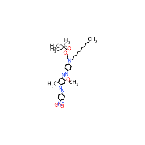 CCCCCCCCCCN(CCOC(=O)C(C)(CC)CC)c1ccc(/N=N/c2cc(C)c(/N=N/c3ccc([N+](=O)[O-])cc3)cc2OC)cc1